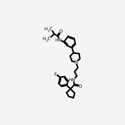 CC(C)C(=O)Nc1cccc(C2CCN(CCCNC(=O)C3(c4ccc(F)cc4)CCCC3)CC2)c1